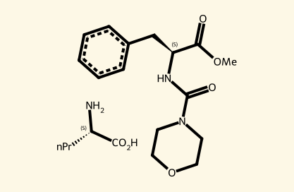 CCC[C@H](N)C(=O)O.COC(=O)[C@H](Cc1ccccc1)NC(=O)N1CCOCC1